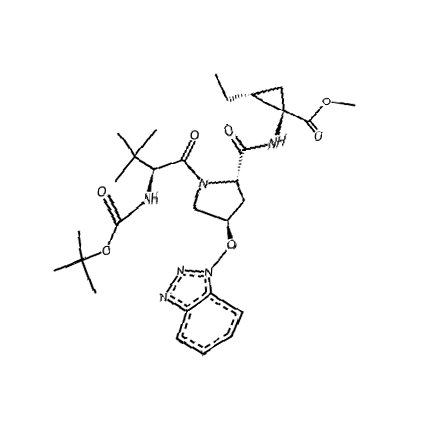 CC[C@@H]1C[C@]1(NC(=O)[C@@H]1C[C@@H](On2nnc3ccccc32)CN1C(=O)[C@@H](NC(=O)OC(C)(C)C)C(C)(C)C)C(=O)OC